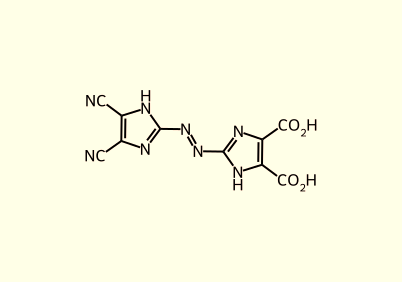 N#Cc1nc(/N=N/c2nc(C(=O)O)c(C(=O)O)[nH]2)[nH]c1C#N